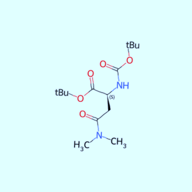 CN(C)C(=O)C[C@H](NC(=O)OC(C)(C)C)C(=O)OC(C)(C)C